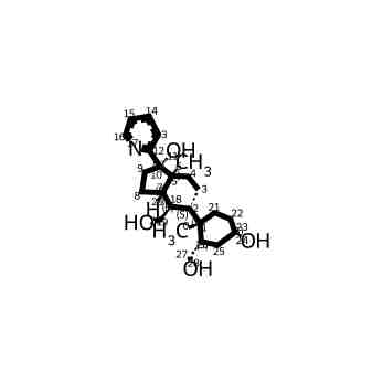 C[C@@]1([C@H]2CC[C@@]3(C)[C@@H](CC[C@@]3(O)c3ccccn3)[C@@H]2CO)CC[C@H](O)C[C@@H]1CO